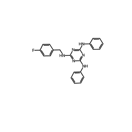 Fc1ccc(CNc2nc(Nc3ccccc3)nc(Nc3ccccc3)n2)cc1